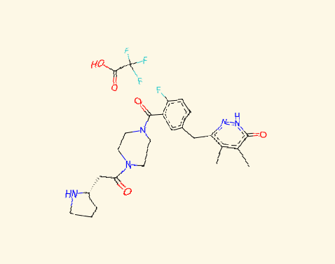 Cc1c(Cc2ccc(F)c(C(=O)N3CCN(C(=O)C[C@@H]4CCCN4)CC3)c2)n[nH]c(=O)c1C.O=C(O)C(F)(F)F